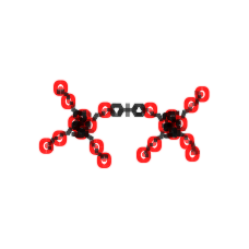 CC(C)(c1ccc(OCCC[Si]2(C)O[Si](C)(CCCOCC3CO3)O[Si](C)(CCCOCC3CO3)O[Si](C)(CCCOCC3CO3)O2)cc1)c1ccc(OCCC[Si]2(C)O[Si](C)(CCCOCC3CO3)O[Si](C)(CCOCC3CO3)O[Si](C)(CCCOCC3CO3)O2)cc1